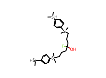 C[SiH](C)c1ccc([Si](C)(C)CCCC(O)(F)CCC[Si](C)(C)c2ccc([SiH](C)C)cc2)cc1